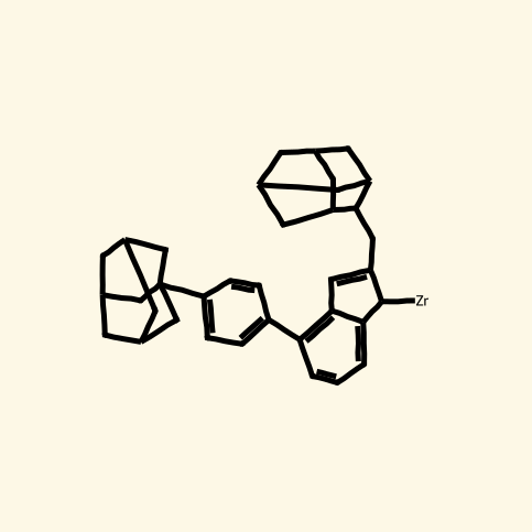 [Zr][CH]1C(CC2C3CC4CC(C3)CC2C4)=Cc2c(-c3ccc(C45CC6CC(CC(C6)C4)C5)cc3)cccc21